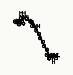 CC(=O)c1c(C)c2c(n(C3CCCC3)c1=O)N=C(Nc1ccc(N3CCN(CC(=O)NCCOCCOCCOCCOCCOCCOCCC(=O)Nc4ccccc4C(=O)NC4=NC(C)C(C)S4)CC3)cn1)NC2